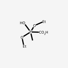 CCOP(C)(O)(OCC)C(=O)O